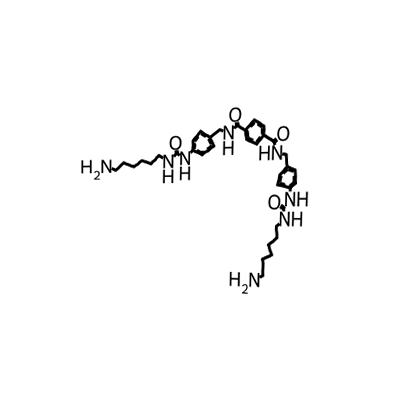 NCCCCCCNC(=O)Nc1ccc(CNC(=O)c2ccc(C(=O)NCc3ccc(NC(=O)NCCCCCCN)cc3)cc2)cc1